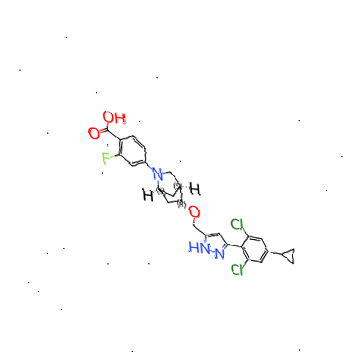 O=C(O)c1ccc(N2C[C@@H]3C[C@H]2C[C@H]3OCc2cc(-c3c(Cl)cc(C4CC4)cc3Cl)n[nH]2)cc1F